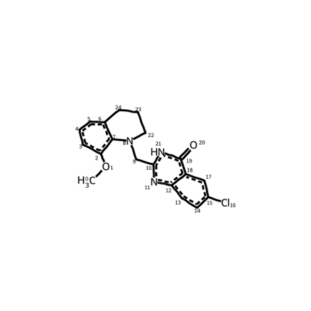 COc1cccc2c1N(Cc1nc3ccc(Cl)cc3c(=O)[nH]1)CCC2